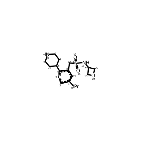 CC(C)c1ccc(C2CCNCC2)c(CS(=O)(=O)NC2COC2)c1